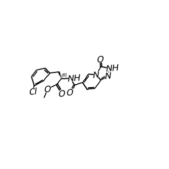 COC(=O)[C@@H](Cc1cccc(Cl)c1)NC(=O)c1ccc2n[nH]c(=O)n2c1